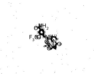 CC1(NS(C)(=O)=O)CC1C(=O)N1CCC[C@@H](C(=O)NCc2ccc(C(N)=O)cc2OC(F)(F)F)C1